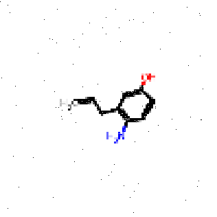 C=CCc1cc(O)ccc1N